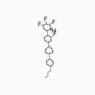 [2H]c1c(-c2ccc(-c3ccc(-c4ccc(CCCC)cc4)cc3)cc2F)cc(F)c(F)c1F